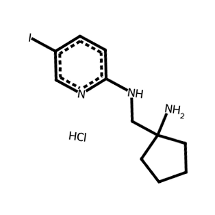 Cl.NC1(CNc2ccc(I)cn2)CCCC1